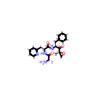 C[C@H](N)C(=O)N[C@@H](Cc1ccccn1)C(=O)N[C@@H](Cc1ccccc1)C(=O)[C@@]1(C)CO1